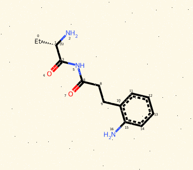 CC[C@H](N)C(=O)NC(=O)CCc1ccccc1N